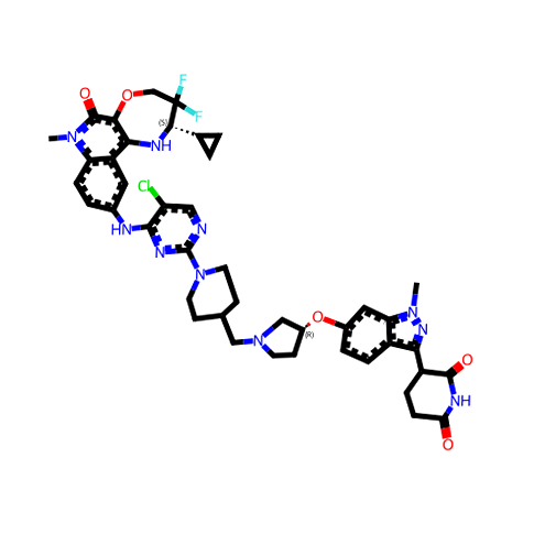 Cn1nc(C2CCC(=O)NC2=O)c2ccc(O[C@@H]3CCN(CC4CCN(c5ncc(Cl)c(Nc6ccc7c(c6)c6c(c(=O)n7C)OCC(F)(F)[C@H](C7CC7)N6)n5)CC4)C3)cc21